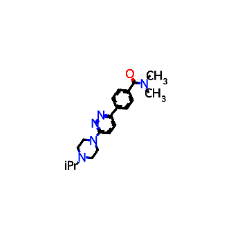 CC(C)N1CCN(c2ccc(-c3ccc(C(=O)N(C)C)cc3)nn2)CC1